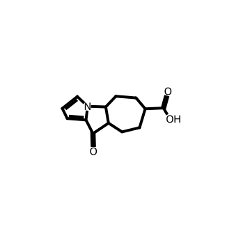 O=C(O)C1CCC2C(=O)c3cccn3C2CC1